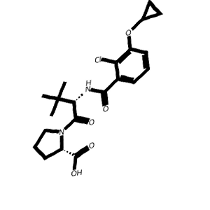 CC(C)(C)[C@H](NC(=O)c1cccc(OC2CC2)c1Cl)C(=O)N1CCC[C@H]1C(=O)O